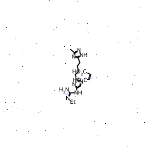 CC/N=C(/N)Nc1cnn(CCCCc2nc(C)n[nH]2)n1.O=C(O)/C=C\C(=O)O